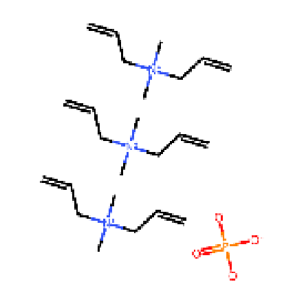 C=CC[N+](C)(C)CC=C.C=CC[N+](C)(C)CC=C.C=CC[N+](C)(C)CC=C.O=P([O-])([O-])[O-]